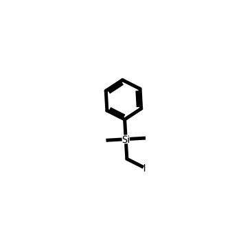 C[Si](C)(CI)c1ccccc1